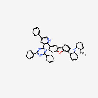 CC1C=CCCC1N1C2=CC=CCC2c2c1ccc1c3c(oc21)CCC(c1ncc(C2=CC=CCC2)cc1-c1nc(C2=CCCC=C2)nc(C2CC=CCC2)n1)=C3